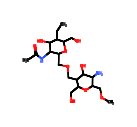 CCC1C(CO)OC(COCC2C(CO)OC(COC)C(N)C2O)C(NC(C)=O)C1O